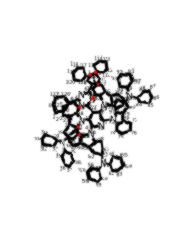 c1ccc(-c2nc(-c3ccccc3)nc(-c3c(-n4c5ccccc5c5cc(N(c6ccccc6)c6ccccc6)ccc54)c(-n4c5ccccc5c5cc(N(c6ccccc6)c6ccccc6)ccc54)nc(-n4c5ccccc5c5cc(N(c6ccccc6)c6ccccc6)ccc54)c3-n3c4ccccc4c4cc(N(c5ccccc5)c5ccccc5)ccc43)n2)cc1